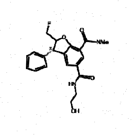 CNC(=O)c1cc(C(=O)NCCO)cc2c1OC(CF)[C@H]2c1ccccc1